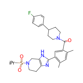 Cc1cc(C)c(-c2nc3c([nH]2)CN(S(=O)(=O)C(C)C)CC3)cc1C(=O)N1CCC(c2ccc(F)cc2)CC1